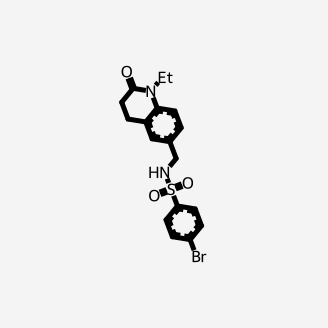 CCN1C(=O)CCc2cc(CNS(=O)(=O)c3ccc(Br)cc3)ccc21